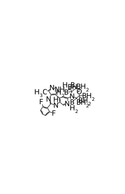 BC1(B)OC(B)(B)C(B)(B)N(c2cc3c(cn2)NC(c2c(F)cccc2F)=Nc2c(C)n[nH]c2-3)C1(B)B